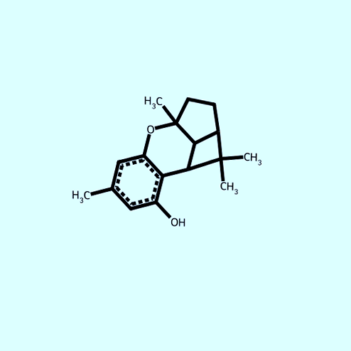 Cc1cc(O)c2c(c1)OC1(C)CCC3C1C2C3(C)C